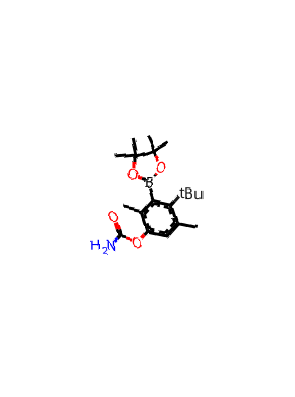 Cc1cc(OC(N)=O)c(C)c(B2OC(C)(C)C(C)(C)O2)c1C(C)(C)C